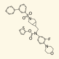 O=C(Oc1cccs1)N(CC1C2CN(S(=O)(=O)c3cccc(-c4ccccc4)c3)CC12)c1ccc(N2CCOCC2)c(F)c1